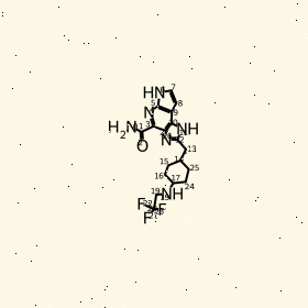 NC(=O)c1nc2[nH]ccc2c2[nH]c([CH]C3CCC(NCC(F)(F)F)CC3)nc12